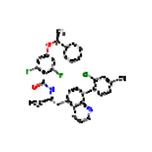 N#Cc1ccc(-c2ccc(C[C@H](NC(=O)c3c(F)cc(O[C@H](c4ccccc4)C(F)(F)F)cc3F)C(=O)O)c3cccnc23)c(Cl)c1